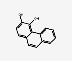 Oc1ccc2ccc3ccccc3c2c1O